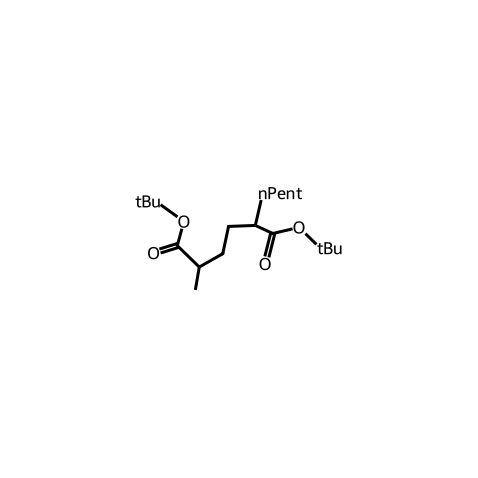 CCCCCC(CCC(C)C(=O)OC(C)(C)C)C(=O)OC(C)(C)C